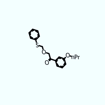 CCCOc1cccc(C(=O)COCSc2ccccc2)c1